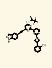 N#Cc1ccccc1C1CN(c2nccc(-c3nccc(C#Cc4ccc5[nH]ncc5c4)n3)n2)C1.O=C(O)C(F)(F)F